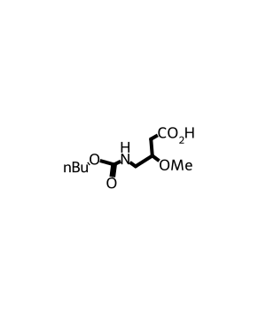 CCCCOC(=O)NCC(CC(=O)O)OC